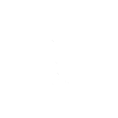 CC(C)N1CCN(c2ccc(N=C=S)cc2)CC1